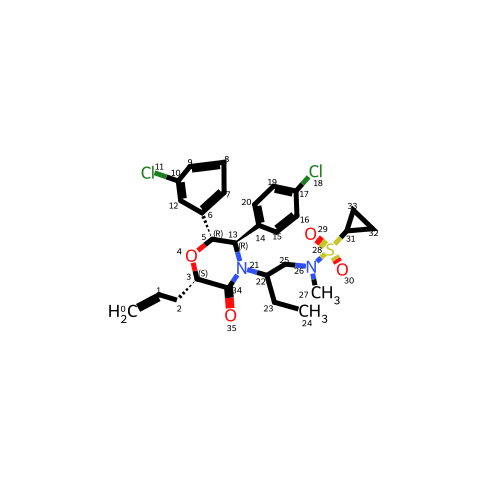 C=CC[C@@H]1O[C@H](c2cccc(Cl)c2)[C@@H](c2ccc(Cl)cc2)N(C(CC)CN(C)S(=O)(=O)C2CC2)C1=O